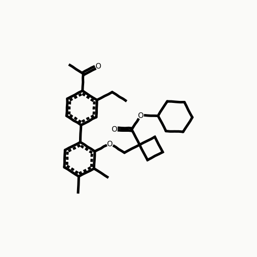 CCc1cc(-c2ccc(C)c(C)c2OCC2(C(=O)OC3CCCCC3)CCC2)ccc1C(C)=O